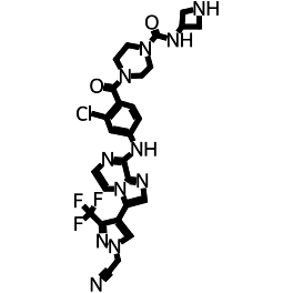 N#CCn1cc(-c2cnc3c(Nc4ccc(C(=O)N5CCN(C(=O)NC6CNC6)CC5)c(Cl)c4)nccn23)c(C(F)(F)F)n1